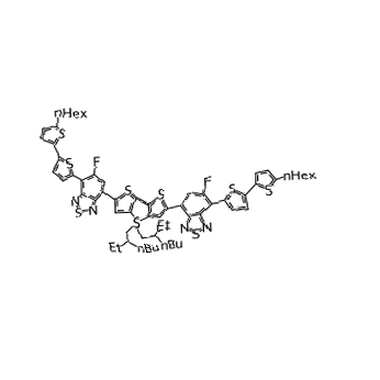 CCCCCCc1ccc(-c2ccc(-c3c(F)cc(-c4cc5c(s4)-c4sc(-c6cc(F)c(-c7ccc(-c8ccc(CCCCCC)s8)s7)c7nsnc67)cc4S5(CC(CC)CCCC)CC(CC)CCCC)c4nsnc34)s2)s1